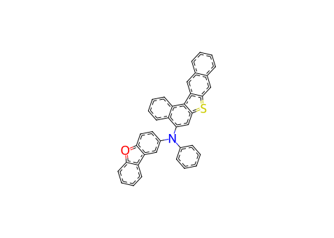 c1ccc(N(c2ccc3oc4ccccc4c3c2)c2cc3sc4cc5ccccc5cc4c3c3ccccc23)cc1